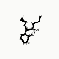 C=CCC1=C(CC=C)c2ccccc2ON1